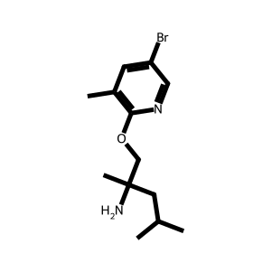 Cc1cc(Br)cnc1OCC(C)(N)CC(C)C